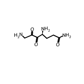 NCC(=O)C(=O)[C@@H](N)CCC(N)=O